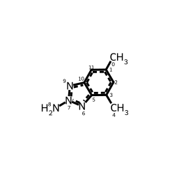 Cc1cc(C)c2nn(N)nc2c1